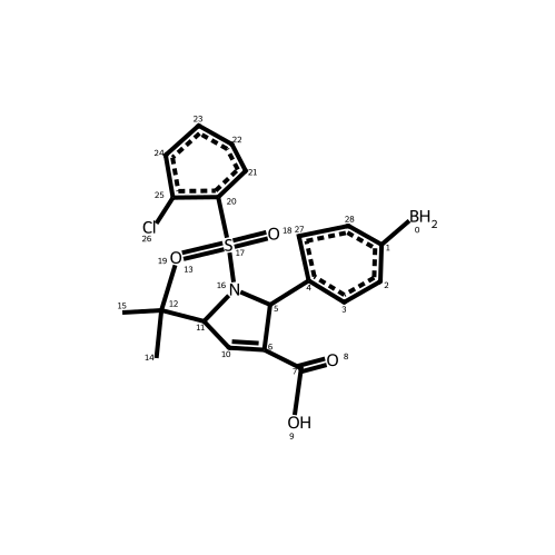 Bc1ccc(C2C(C(=O)O)=CC(C(C)(C)C)N2S(=O)(=O)c2ccccc2Cl)cc1